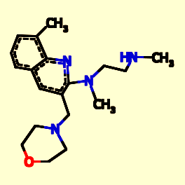 CNCCN(C)c1nc2c(C)cccc2cc1CN1CCOCC1